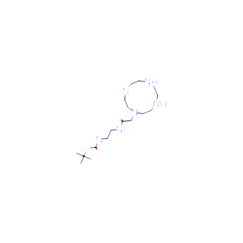 CC(C)(C)OC(=O)NCCNC(=O)CN1CCNCCNCCNCC1